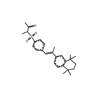 CC(=O)C(C)S(=O)(=O)c1ccc(C=C(C)c2ccc3c(c2)C(C)(C)CCC3(C)C)cc1